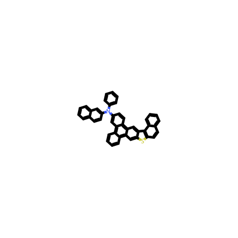 c1ccc(N(c2ccc3ccccc3c2)c2ccc3c(c2)c2ccccc2c2cc4sc5ccc6ccccc6c5c4cc32)cc1